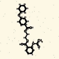 CC(=O)Oc1ccccc1C(=O)OCCOC(=O)c1ccc(Oc2ccccc2)cc1